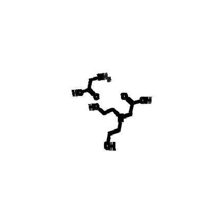 NCC(=O)O.O=C(O)CN(CCO)CCO